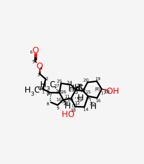 C[C@H](CCOC=O)[C@H]1CC[C@H]2[C@@H]3[C@@H](O)C[C@@H]4C[C@H](O)CC[C@]4(C)[C@H]3CC[C@]12C